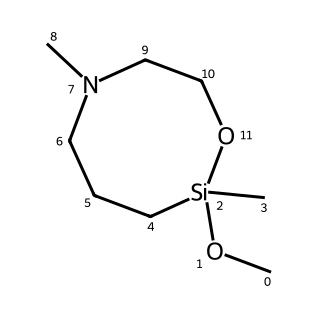 CO[Si]1(C)CCCN(C)CCO1